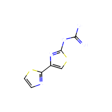 N=C(N)Nc1nc(-c2nccs2)cs1